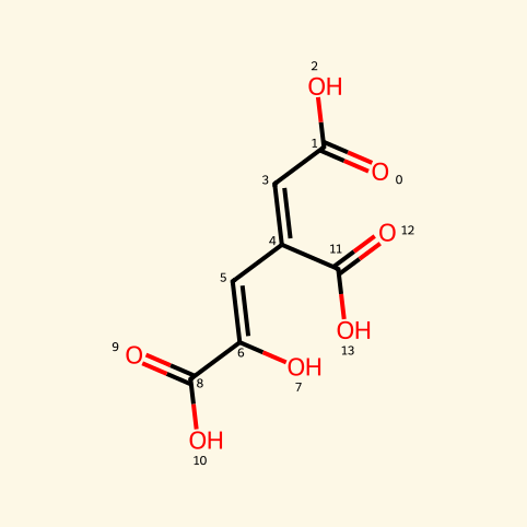 O=C(O)C=C(C=C(O)C(=O)O)C(=O)O